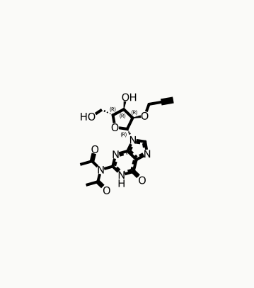 C#CCO[C@@H]1[C@H](O)[C@@H](CO)O[C@H]1n1cnc2c(=O)[nH]c(N(C(C)=O)C(C)=O)nc21